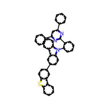 c1ccc(-c2cc(-c3ccccc3)nc(-c3ccccc3-n3c4ccccc4c4cc(-c5ccc6sc7ccccc7c6c5)ccc43)n2)cc1